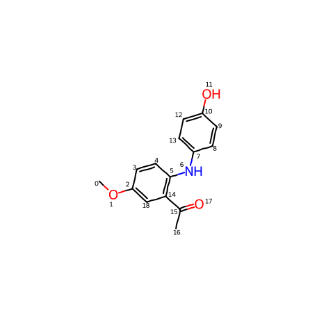 COc1ccc(Nc2ccc(O)cc2)c(C(C)=O)c1